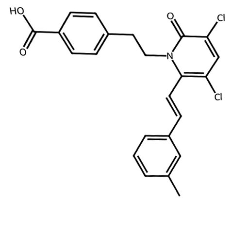 Cc1cccc(/C=C/c2c(Cl)cc(Cl)c(=O)n2CCc2ccc(C(=O)O)cc2)c1